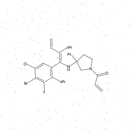 C=CC(=O)N1CCC(N/C(=C(/C=C)CCC)c2cc(Cl)c(Br)c(F)c2CCC)(C(C)=O)C1